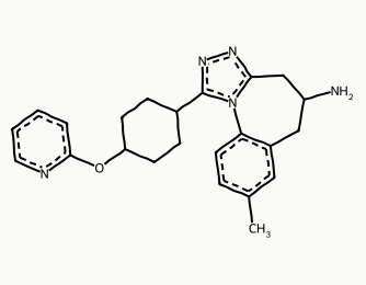 Cc1ccc2c(c1)CC(N)Cc1nnc(C3CCC(Oc4ccccn4)CC3)n1-2